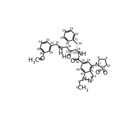 CCn1ncc2c(N3CCCS3(=O)=O)cc(C(=O)N[C@@H](Cc3ccccc3)[C@H](O)CNCc3cccc(OC)c3)cc21